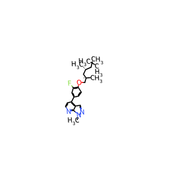 C[C](COc1ccc(-c2ccnc3c2cnn3C)cc1F)C[C@H](C)CC(C)(C)C